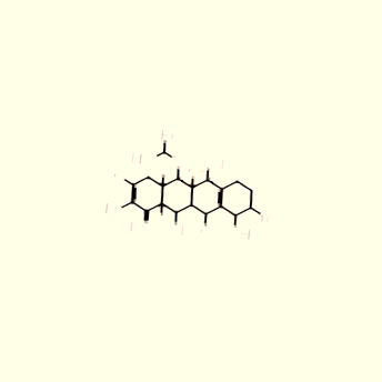 C=C1C(C(C)C)=C(C)CC2(C)C(OC(O)CC)C3(C)C(C)C4=C(C(C)C(CCC)CC4)C(C)C3C(C)C12C